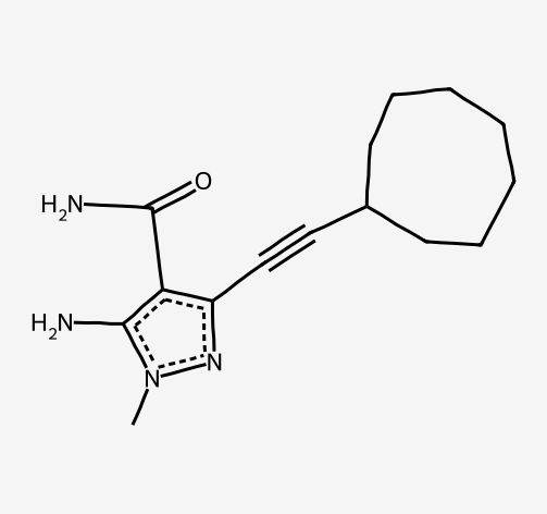 Cn1nc(C#CC2CCCCCCC2)c(C(N)=O)c1N